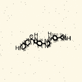 O=C(c1cc2ccc(-c3nccc(Nc4ccc(-c5cn[nH]c5)cc4)n3)cc2[nH]1)N1CCC2(CCNCC2)CC1